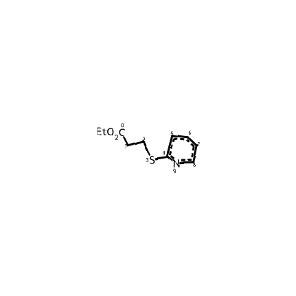 CCOC(=O)CCSc1ccccn1